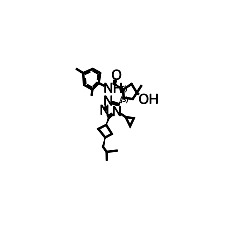 Cc1ccc(NC(=O)[C@H]2CC(C)(O)C[C@@H]2c2nnc([C@H]3C[C@@H](CC(C)C)C3)n2C2CC2)c(C)c1